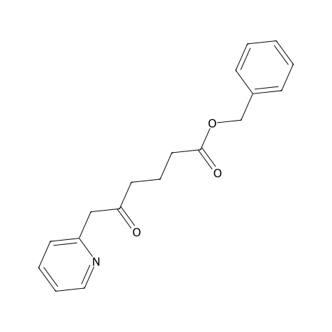 O=C(CCCC(=O)OCc1ccccc1)Cc1ccccn1